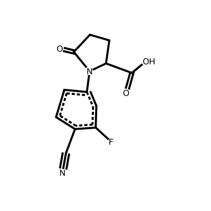 N#Cc1ccc(N2C(=O)CCC2C(=O)O)cc1F